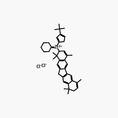 CC1=CCC(C)(C)c2cc3c(cc21)-c1cc2c(cc1C3)C(C)(C)[CH]([Zr+2]([C]1=CC(C(C)(C)C)=CC1)=[C]1CCCCC1)C=C2C.[Cl-].[Cl-]